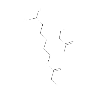 CC(C)CCCCCOC(=O)CS.O=C(O)CS